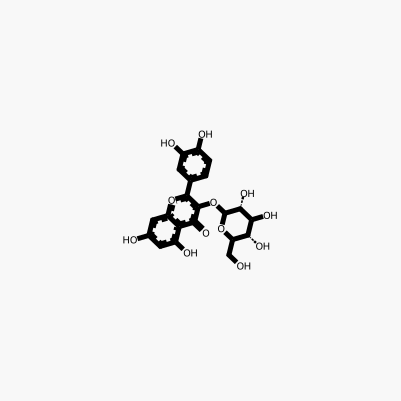 O=c1c(OC2OC(CO)[C@@H](O)C(O)[C@H]2O)c(-c2ccc(O)c(O)c2)oc2cc(O)cc(O)c12